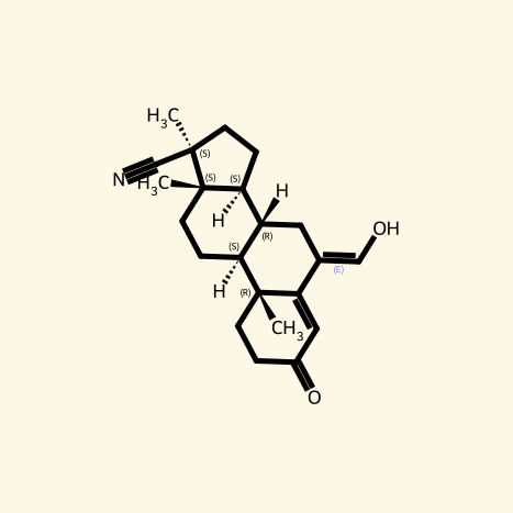 C[C@]12CCC(=O)C=C1/C(=C/O)C[C@@H]1[C@@H]2CC[C@@]2(C)[C@H]1CC[C@]2(C)C#N